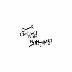 CC(=O)O.[Cl][Ca][Cl].[Cl][K].[Cl][Mg][Cl].[NaH].[NaH]